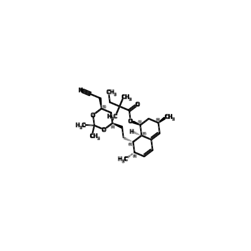 CCC(C)(C)C(=O)O[C@H]1C[C@@H](C)C=C2C=C[C@H](C)[C@H](CC[C@@H]3C[C@H](CC#N)OC(C)(C)O3)[C@H]21